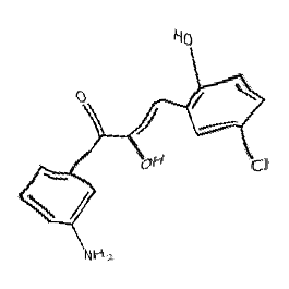 Nc1cccc(C(=O)C(O)=Cc2cc(Cl)ccc2O)c1